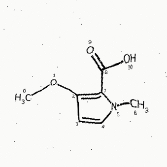 COc1ccn(C)c1C(=O)O